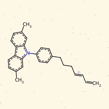 C=C/C=C/CCCc1ccc(-n2c3cc(C)ccc3c3ccc(C)cc32)cc1